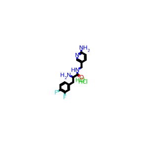 Cl.Cl.Nc1ccc(CNC(=O)C(N)Cc2ccc(F)c(F)c2)cn1